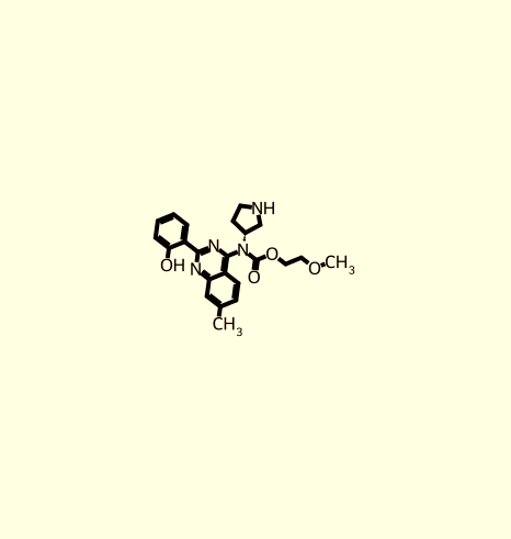 COCCOC(=O)N(c1nc(-c2ccccc2O)nc2cc(C)ccc12)[C@@H]1CCNC1